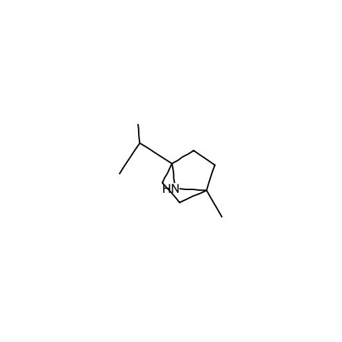 CC(C)C12CCC(C)(CC1)N2